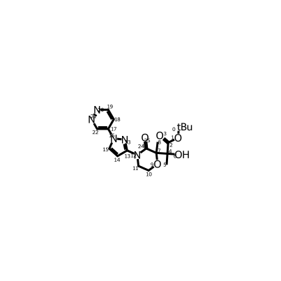 CC(C)(C)OC(=O)C(C)(O)C1(C)OCCN(c2ccn(-c3ccnnc3)n2)C1=O